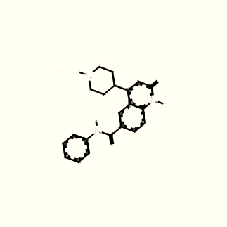 CCn1c(=O)cc(C2CCN(C(=O)O)CC2)c2cc(C(=O)N(C)c3ccccc3)ccc21